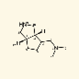 CN(C)CC1CC[C@@H]2CNC[C@H]12